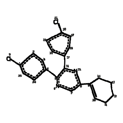 Clc1ccc(-c2ncc(C3=CCCCC3)nc2-c2ccc(Cl)cc2)cc1